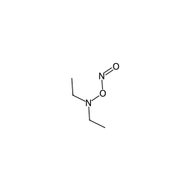 CCN(CC)ON=O